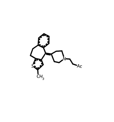 CC(=O)CCN1CCC(=C2c3ccccc3CCc3sc(C)cc32)CC1